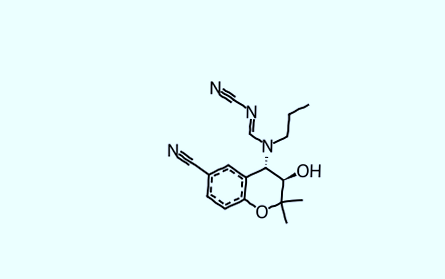 CCCN(C=NC#N)[C@H]1c2cc(C#N)ccc2OC(C)(C)[C@@H]1O